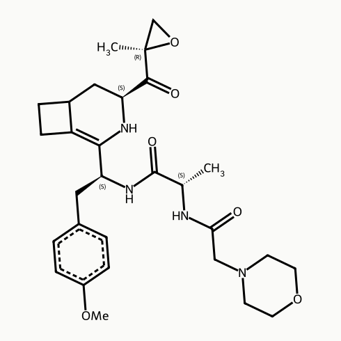 COc1ccc(C[C@H](NC(=O)[C@H](C)NC(=O)CN2CCOCC2)C2=C3CCC3C[C@@H](C(=O)[C@@]3(C)CO3)N2)cc1